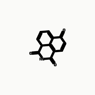 O=C1C=CC2=C3C1=CC=CC3C(=O)NC2=O